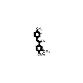 COc1ccc(/C(C#N)=C/c2ccc(C)cc2)cc1OC